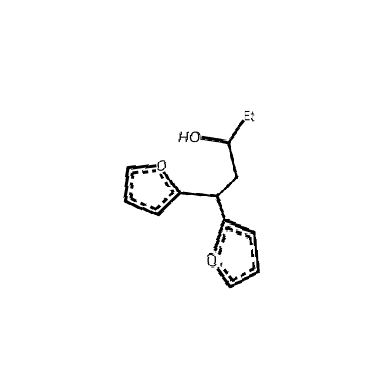 CCC(O)CC(c1ccco1)c1ccco1